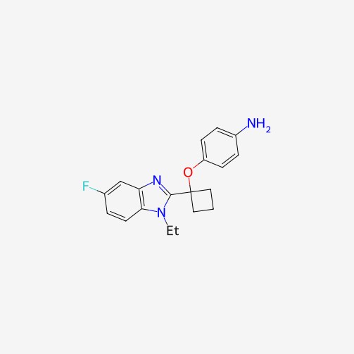 CCn1c(C2(Oc3ccc(N)cc3)CCC2)nc2cc(F)ccc21